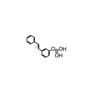 OB(O)Oc1cccc(/C=C/c2ccccc2)c1